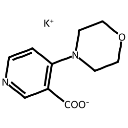 O=C([O-])c1cnccc1N1CCOCC1.[K+]